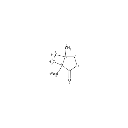 CCCCCC1(C)C(=O)CCC1(C)C